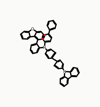 c1ccc(-c2ccc(N(c3ccc(-c4ccc(-n5c6ccccc6c6ccccc65)cc4)cc3)c3ccccc3-c3cccc4oc5ccccc5c34)cc2)cc1